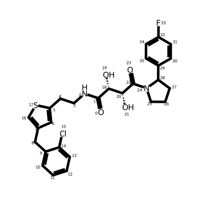 O=C(NCCc1cc(Cc2ccccc2Cl)cs1)[C@H](O)[C@@H](O)C(=O)N1CCCC1c1ccc(F)cc1